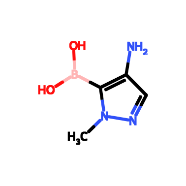 Cn1ncc(N)c1B(O)O